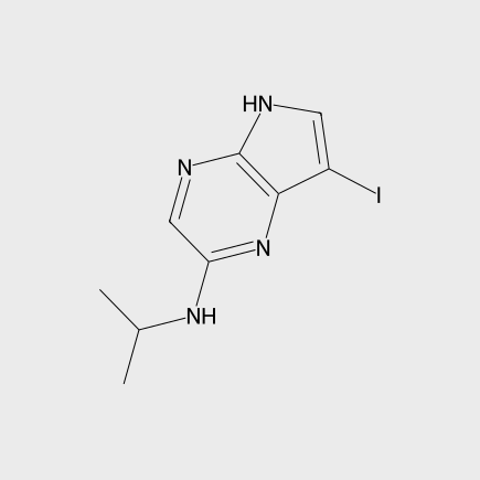 CC(C)Nc1cnc2[nH]cc(I)c2n1